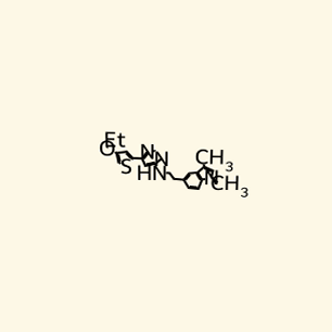 CCOc1csc(-c2cc(NCCc3ccc4c(c3)c(C)cn4C)ncn2)c1